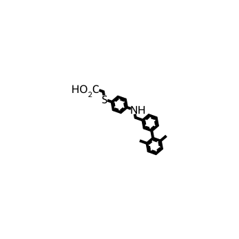 Cc1cccc(C)c1-c1cccc(CNc2ccc(SCC(=O)O)cc2)c1